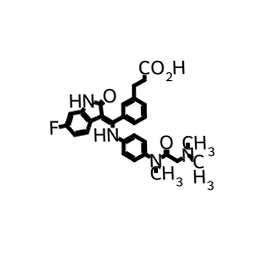 CN(C)CC(=O)N(C)c1ccc(NC(=C2C(=O)Nc3cc(F)ccc32)c2cccc(CCC(=O)O)c2)cc1